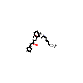 O=C(O)CC=C/C=C\C[C@H]1[C@@H](CCC(O)CC2CCCC2)[C@H]2CC[C@@H]1O2